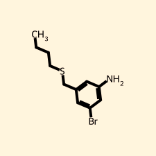 CCCCSCc1cc(N)cc(Br)c1